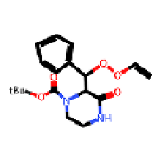 C=COOC(c1ccccc1)C1C(=O)NCCN1C(=O)OC(C)(C)C